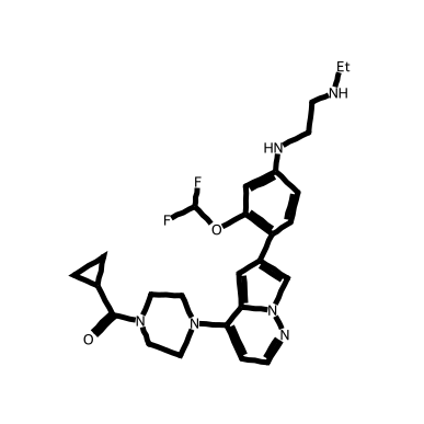 CCNCCNc1ccc(-c2cc3c(N4CCN(C(=O)C5CC5)CC4)ccnn3c2)c(OC(F)F)c1